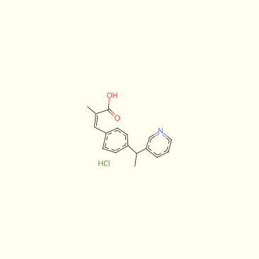 CC(=Cc1ccc(C(C)c2cccnc2)cc1)C(=O)O.Cl